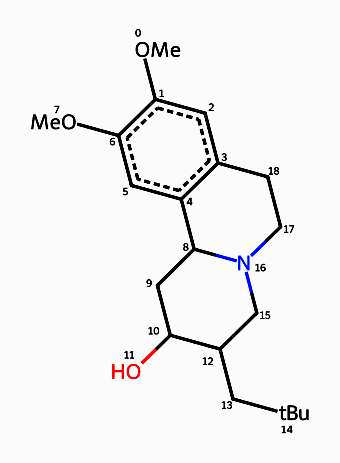 COc1cc2c(cc1OC)C1CC(O)C(CC(C)(C)C)CN1CC2